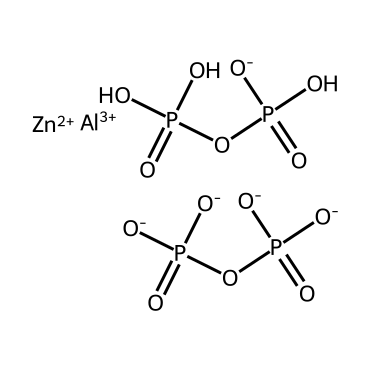 O=P([O-])(O)OP(=O)(O)O.O=P([O-])([O-])OP(=O)([O-])[O-].[Al+3].[Zn+2]